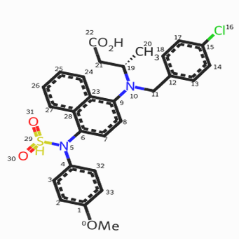 COc1ccc(N(c2ccc(N(Cc3ccc(Cl)cc3)[C@@H](C)CC(=O)O)c3ccccc23)[SH](=O)=O)cc1